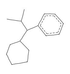 CC(C)C(c1ccccc1)C1CCCCC1